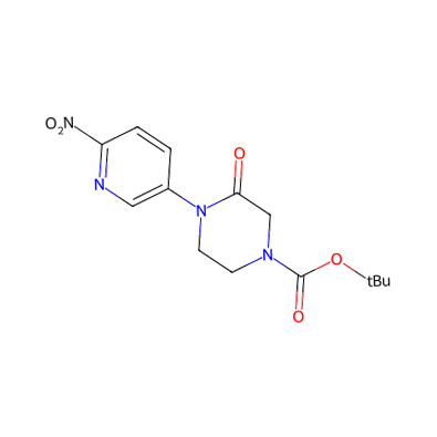 CC(C)(C)OC(=O)N1CCN(c2ccc([N+](=O)[O-])nc2)C(=O)C1